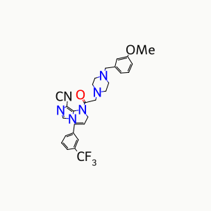 COc1cccc(CN2CCN(CC(=O)N3CC=C(c4cccc(C(F)(F)F)c4)n4cnc(C#N)c43)CC2)c1